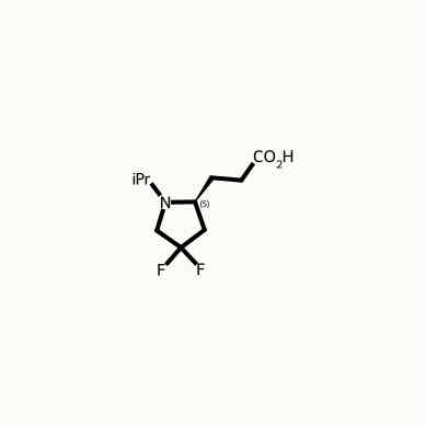 CC(C)N1CC(F)(F)C[C@@H]1CCC(=O)O